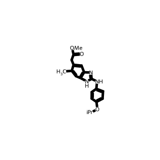 COC(=O)Cc1cc2nc(Nc3ccc(OC(C)C)cc3)[nH]c2cc1C